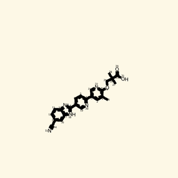 Cc1cc(-c2ccc(-c3nc4ccc(C#N)cc4[nH]3)cn2)cnc1OCC(C)(C)C(=O)O